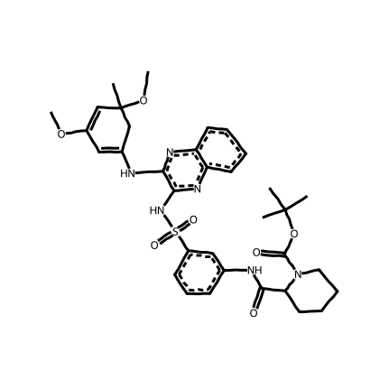 COC1=CC(C)(OC)CC(Nc2nc3ccccc3nc2NS(=O)(=O)c2cccc(NC(=O)C3CCCCN3C(=O)OC(C)(C)C)c2)=C1